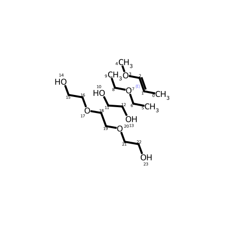 C/C=C/OC.CCOCC.OCCO.OCCOCCOCCO